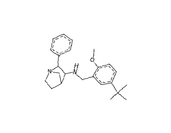 COc1ccc(C(C)(C)C)cc1CNC1C2CCN(C2)C1c1ccccc1